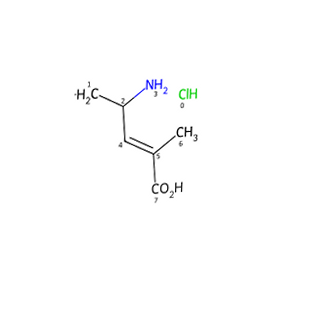 Cl.[CH2]C(N)C=C(C)C(=O)O